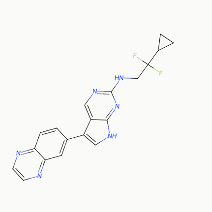 FC(F)(CNc1ncc2c(-c3ccc4nccnc4c3)c[nH]c2n1)C1CC1